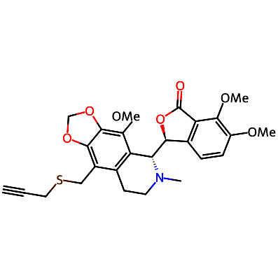 C#CCSCc1c2c(c(OC)c3c1OCO3)[C@H]([C@H]1OC(=O)c3c1ccc(OC)c3OC)N(C)CC2